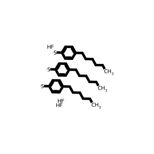 CCCCCCc1ccc([S])cc1.CCCCCCc1ccc([S])cc1.CCCCCCc1ccc([S])cc1.F.F.F